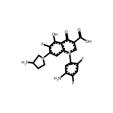 Nc1cc(-n2cc(C(=O)O)c(=O)c3c(O)c(F)c(N4CCC(N)C4)cc32)c(F)cc1F